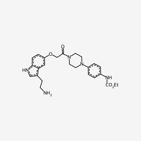 CCOC(=O)Nc1ccc(N2CCN(C(=O)COc3ccc4[nH]cc(CCN)c4c3)CC2)cc1